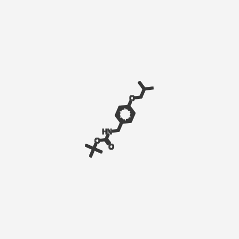 CC(C)COc1ccc(CNC(=O)OC(C)(C)C)cc1